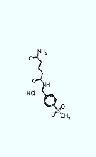 CS(=O)(=O)c1ccc(CNC(=O)CCCC(N)=O)cc1.Cl